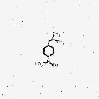 CN(C)C[C@H]1CC[C@H](N(C(=O)O)C(C)(C)C)CC1